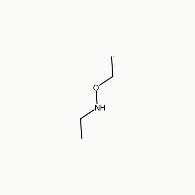 [CH2]CONCC